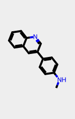 CNc1ccc(-c2cnc3ccccc3c2)cc1